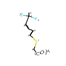 CC(F)(F)CCCSCC(=O)O